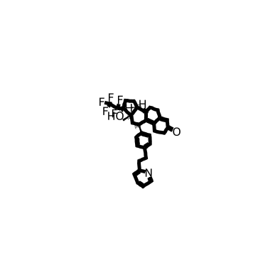 C[C@]12C[C@H](c3ccc(CCc4ccccn4)cc3)C3=C4CCC(=O)C=C4CC[C@H]3[C@@H]1CC[C@@]2(O)C(F)(F)C(F)(F)F